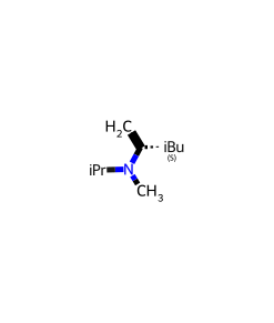 C=C([C@@H](C)CC)N(C)C(C)C